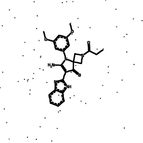 CCC(=O)N1CC2(C1)C(=O)C(c1nc3ccccc3[nH]1)=C(N)N2c1cc(OC)cc(OC)c1